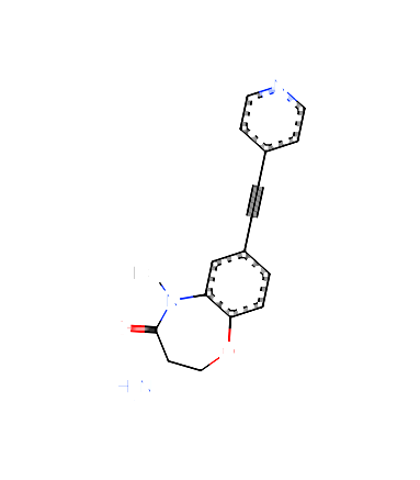 CN1C(=O)[C@@H](N)COc2ccc(C#Cc3ccncc3)cc21